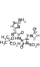 CC(C)(O/N=C(\C(=O)N[C@@H]1C(=O)N(S(=O)(=O)O)[C@@H]1CN1CCC1=O)c1csc(N)n1)C(=O)O